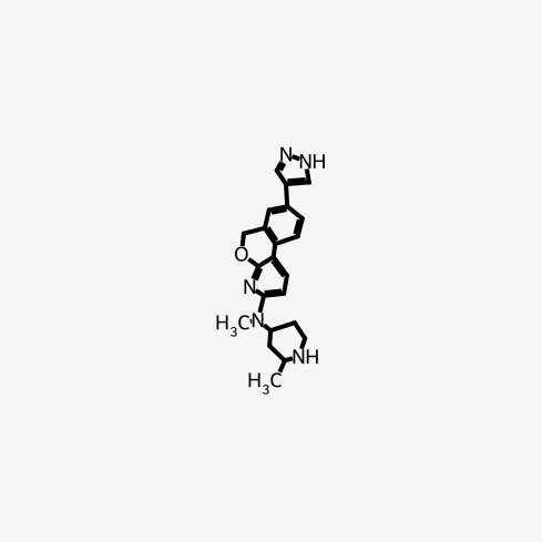 CC1CC(N(C)c2ccc3c(n2)OCc2cc(-c4cn[nH]c4)ccc2-3)CCN1